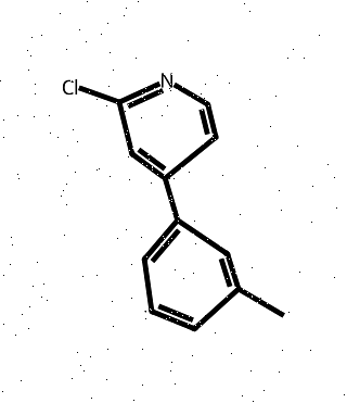 Cc1c[c]cc(-c2ccnc(Cl)c2)c1